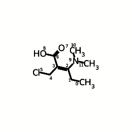 CCC(=C(CCl)C(=O)O)N(C)C